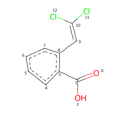 O=C(O)c1ccccc1C=C(Cl)Cl